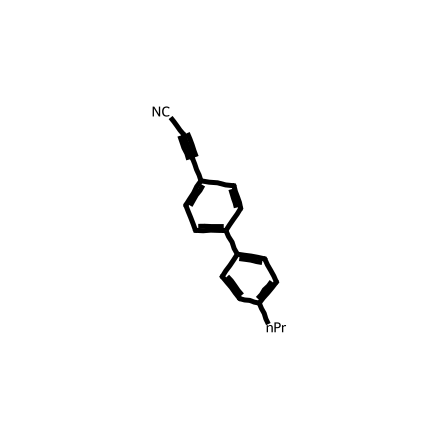 CCCc1ccc(-c2ccc(C#CC#N)cc2)cc1